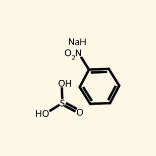 O=S(O)O.O=[N+]([O-])c1ccccc1.[NaH]